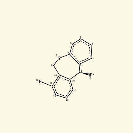 CC(C)[C@@H]1c2ccccc2SCc2c(F)cccc21